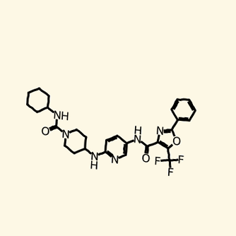 O=C(Nc1ccc(NC2CCN(C(=O)NC3CCCCC3)CC2)nc1)c1nc(-c2ccccc2)oc1C(F)(F)F